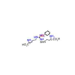 CSCC[C@H](N)C(=O)O.N=C(N)NCCC[C@H](N)C(=O)O.Oc1ccccc1